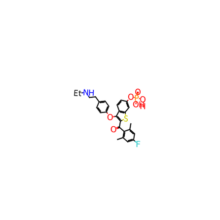 CCNCCc1ccc(Oc2c(C(=O)c3c(C)cc(F)cc3C)sc3cc(OP(=O)(O)O)ccc23)cc1